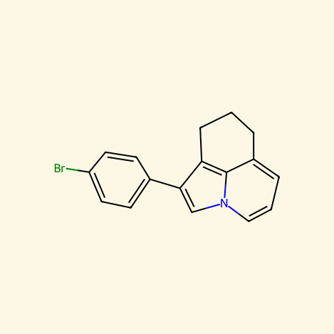 Brc1ccc(-c2cn3cccc4c3c2CCC4)cc1